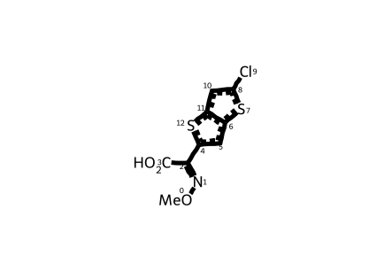 CON=C(C(=O)O)c1cc2sc(Cl)cc2s1